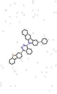 c1ccc(-c2ccc3c(c2)c2cc4ccccc4cc2n3-c2nnc(-c3ccc4c(c3)sc3ccccc34)c3ccccc23)cc1